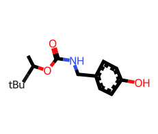 CC(OC(=O)NCc1ccc(O)cc1)C(C)(C)C